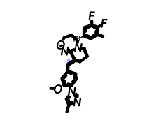 COc1cc(/C=C2\CCCN3C2=NOCC[C@@H]3c2cc(C)c(F)c(F)c2)ccc1-n1cnc(C)c1